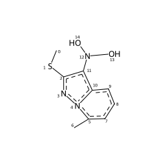 CSc1nn2c(C)cccc2c1N(O)O